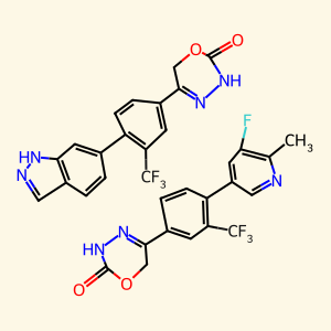 Cc1ncc(-c2ccc(C3=NNC(=O)OC3)cc2C(F)(F)F)cc1F.O=C1NN=C(c2ccc(-c3ccc4cn[nH]c4c3)c(C(F)(F)F)c2)CO1